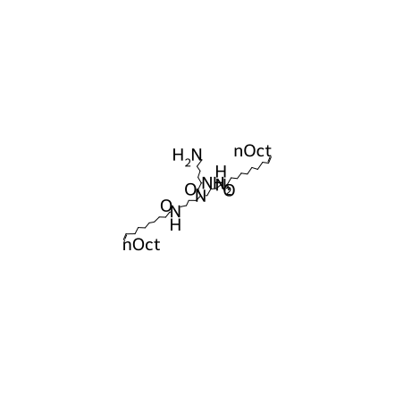 CCCCCCCC/C=C\CCCCCCCC(=O)NCCCCN(CCCNC(=O)CCCCCCC/C=C\CCCCCCCC)C(=O)[C@H](N)CCCCN